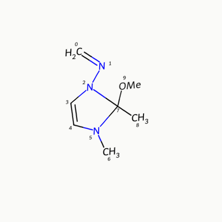 C=NN1C=CN(C)C1(C)OC